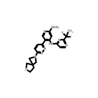 CC(=O)Nc1cc(Nc2ccnc(C(C)(F)F)n2)c(-c2ccc(N3CC4(CCOC4)C3)nn2)cn1